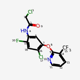 O=C(CCl)Nc1cc(Oc2ncccc2C(F)(F)F)c(Cl)cc1F